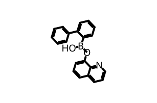 OB(Oc1cccc2cccnc12)c1ccccc1-c1ccccc1